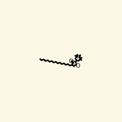 CCCCCCCCCCCCCCCCC1CC(=O)N(C2CC(C)(C)N(C)C(C)(C)C2)C1=O